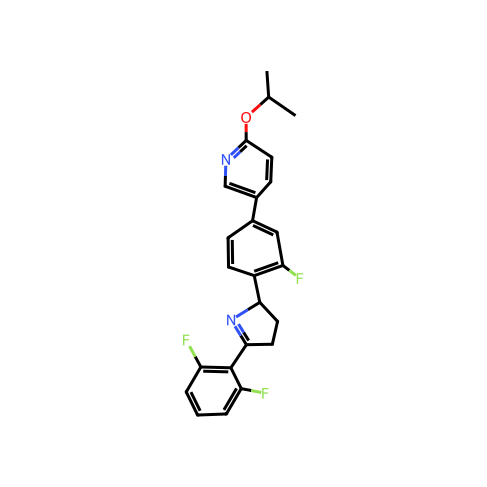 CC(C)Oc1ccc(-c2ccc(C3CCC(c4c(F)cccc4F)=N3)c(F)c2)cn1